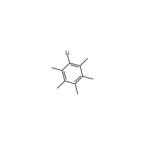 [Li][c]1c(C)c(C)c(C)c(C)c1C